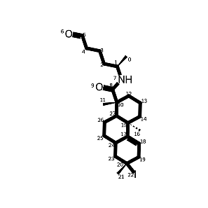 C[C@H](CCCC=O)NC(=O)[C@]1(C)CCC[C@@]2(C)C3=CC[C@](C)(I)CC3CCC12